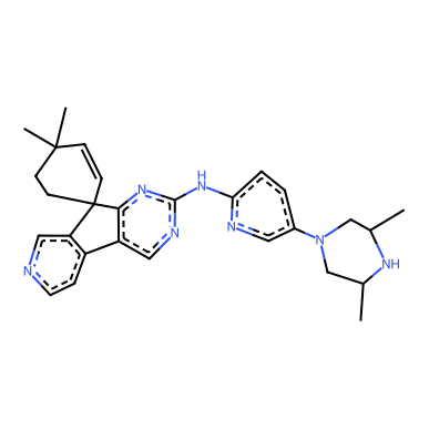 CC1CN(c2ccc(Nc3ncc4c(n3)C3(C=CC(C)(C)CC3)c3cnccc3-4)nc2)CC(C)N1